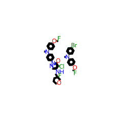 CN(c1ccc(Br)cc1)c1ccc(OCF)cc1.CN(c1ccc(OCF)cc1)c1ccc(-n2ncc(NCC3(F)CCCOC3)c(Cl)c2=O)cc1